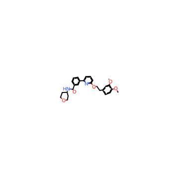 COc1ccc(CCOc2cccc(-c3cccc(C(=O)NC4CCOCC4)c3)n2)cc1OC